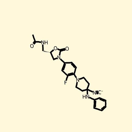 [C-]#[N+]C1(Nc2ccccc2)CCN(c2ccc(N3C[C@H](CNC(C)=O)OC3=O)cc2F)CC1